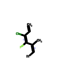 C=C/C(Cl)=C(F)\C(C)=C/CC